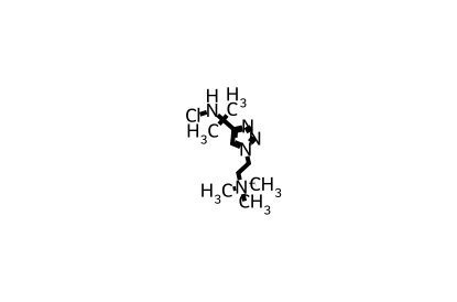 CC(C)(NCl)c1cn(CC[N+](C)(C)C)nn1